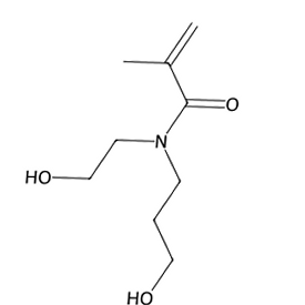 C=C(C)C(=O)N(CCO)CCCO